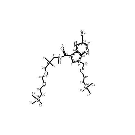 CC(C)(CNC(=O)c1cn(COCC[Si](C)(C)C)c2ncc(Br)nc12)COCOCC[Si](C)(C)C